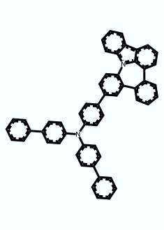 c1ccc(-c2ccc(N(c3ccc(-c4ccccc4)cc3)c3ccc(-c4ccc5c(c4)-c4ccccc4-c4cccc6c7ccccc7n-5c46)cc3)cc2)cc1